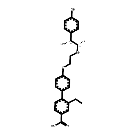 CCc1cc(C(=O)O)ccc1-c1ccc(OCCN[C@@H](C)[C@H](O)c2ccc(O)cc2)cc1